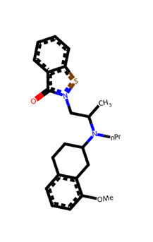 CCCN(C(C)Cn1sc2ccccc2c1=O)C1CCc2cccc(OC)c2C1